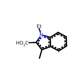 CCn1c(C(=O)O)c(C)c2[c]cccc21